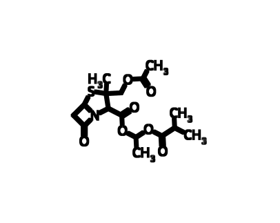 CC(=O)OCC1(C)SC2CC(=O)N2C1C(=O)OC(C)OC(=O)C(C)C